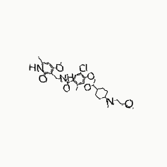 COCCN(C)C1CCC(C2COc3c(Cl)cc(C(=O)NCc4c(OC)cc(C)[nH]c4=O)c(C)c3O2)CC1